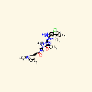 Cc1nc(CNc2n[nH]c3cc(Cl)c(C(C)(C)C)cc23)n(C)c1C(=O)NC1CN(C(=O)/C=C/CN(C)C)C1